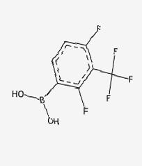 OB(O)c1ccc(F)c(C(F)(F)F)c1F